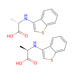 C[C@@H](Nc1csc2ccccc12)C(=O)O.C[C@H](Nc1csc2ccccc12)C(=O)O